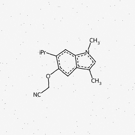 Cc1cn(C)c2cc(C(C)C)c(OCC#N)cc12